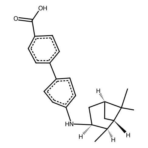 C[C@H]1[C@@H](Nc2ccc(-c3ccc(C(=O)O)cc3)cc2)C[C@@H]2C[C@@H]1C2(C)C